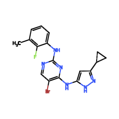 Cc1cccc(Nc2ncc(Br)c(Nc3cc(C4CC4)n[nH]3)n2)c1F